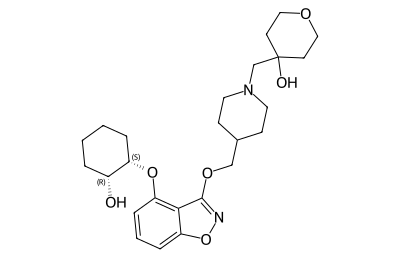 O[C@@H]1CCCC[C@@H]1Oc1cccc2onc(OCC3CCN(CC4(O)CCOCC4)CC3)c12